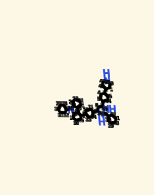 C1=CC(c2ccc(C3=CC(c4ccc(-c5cccc6c5c5ccccc5n6-c5ccccc5)cc4)NC(c4ccccc4)N3)cc2)=CCN1